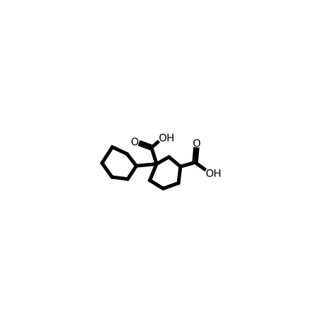 O=C(O)C1CCCC(C(=O)O)(C2CCCCC2)C1